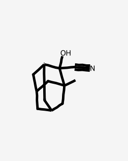 CC12CC3C[C](CC(C3)C1)C2(O)C#N